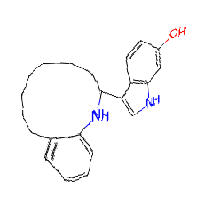 Oc1ccc2c(C3CCCCCCCc4ccccc4N3)c[nH]c2c1